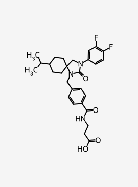 CC(C)C1CCC2(CC1)CN(c1ccc(F)c(F)c1)C(=O)N2Cc1ccc(C(=O)NCCC(=O)O)cc1